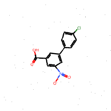 O=C(O)c1cc(-c2ccc(Cl)cc2)cc([N+](=O)[O-])c1